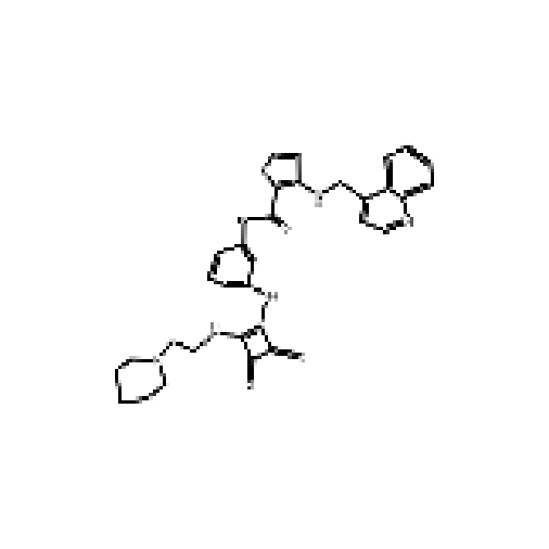 O=C(Nc1cccc(Nc2c(NCCN3CCCCC3)c(=O)c2=O)c1)c1sccc1NCc1ccnc2ccccc12